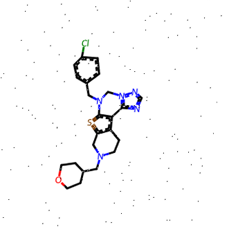 Clc1ccc(CN2Cn3ncnc3-c3c2sc2c3CCN(CC3CCOCC3)C2)cc1